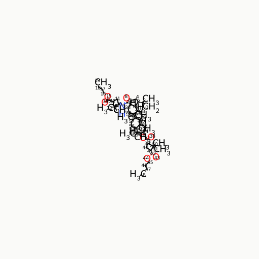 C=C(C)[C@@H]1CC[C@]2(C(=O)NC3CC(C(=O)OCCCC)C3(C)C)CC[C@]3(C)[C@H](CC[C@@H]4[C@@]5(C)CC[C@H](OC(=O)[C@H]6C[C@@H](C(=O)OCCCC)C6(C)C)C(C)(C)[C@@H]5CC[C@]43C)[C@@H]12